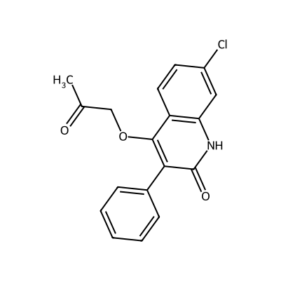 CC(=O)COc1c(-c2ccccc2)c(=O)[nH]c2cc(Cl)ccc12